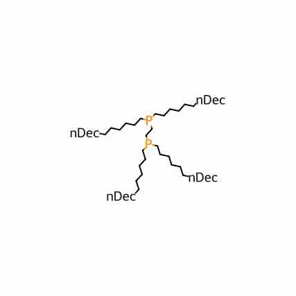 CCCCCCCCCCCCCCCCP(CCCCCCCCCCCCCCCC)CCP(CCCCCCCCCCCCCCCC)CCCCCCCCCCCCCCCC